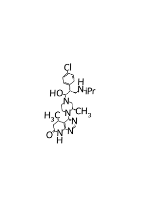 CC(C)NC[C@H](c1ccc(Cl)cc1)C(O)N1CCN(c2ncnc3c2[C@H](C)CC(=O)N3)[C@H](C)C1